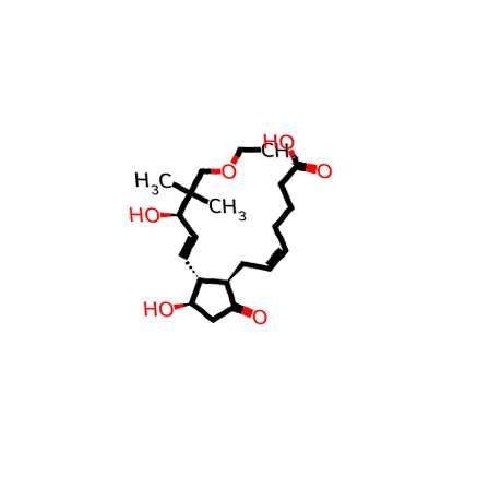 CCOCC(C)(C)[C@H](O)/C=C/[C@H]1[C@H](O)CC(=O)[C@@H]1C/C=C\CCCC(=O)O